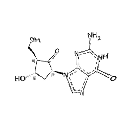 Nc1nc2c(ncn2[C@H]2C[C@H](O)[C@@H](CO)C2=O)c(=O)[nH]1